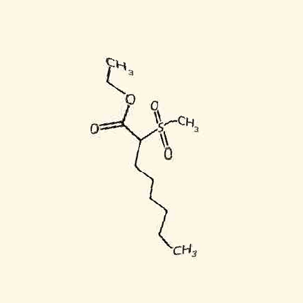 CCCCCCC(C(=O)OCC)S(C)(=O)=O